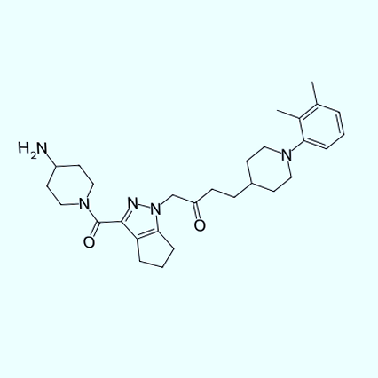 Cc1cccc(N2CCC(CCC(=O)Cn3nc(C(=O)N4CCC(N)CC4)c4c3CCC4)CC2)c1C